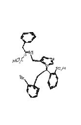 O=C(O)[C@H](Cc1ccccc1)NCc1cncn1C(Cc1ccccc1Br)c1ccccc1S(=O)(=O)O